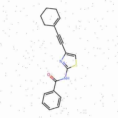 O=C(Nc1nc(C#CC2=CCCCC2)cs1)c1ccccc1